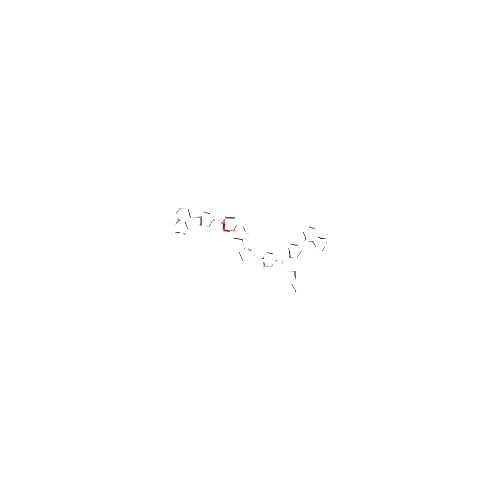 C/C=C\C=C/CN(c1ccc(C/C=C(\C=C/C)C(/C=C\c2ccccc2)=C/C=C/Nc2ccc(-c3cccc4ccccc34)cc2)cc1)c1ccc(-c2cccc3ccccc23)cc1